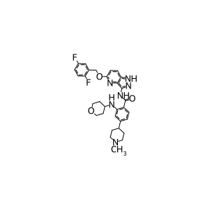 CN1CCC(c2ccc(C(=O)Nc3n[nH]c4ccc(OCc5cc(F)ccc5F)nc34)c(NC3CCOCC3)c2)CC1